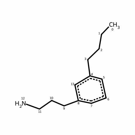 CCCCc1cccc(CCCN)c1